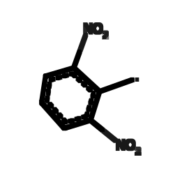 [CH2]c1c([N+](=O)[O-])cccc1[N+](=O)[O-]